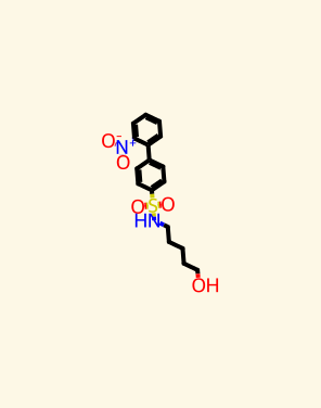 O=[N+]([O-])c1ccccc1-c1ccc(S(=O)(=O)NCCCCCO)cc1